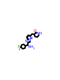 N[C@H](c1cn2nc(CC3CCCNC3=O)ccc2n1)C1CCC(F)(F)CC1